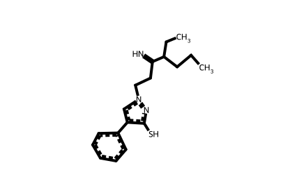 CCCC(CC)C(=N)CCn1cc(-c2ccccc2)c(S)n1